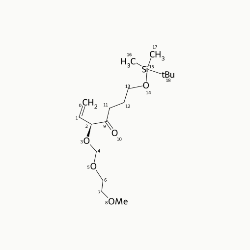 C=C[C@H](OCOCCOC)C(=O)CCCO[Si](C)(C)C(C)(C)C